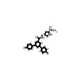 NN[C@@H]1C[C@@H](CNC(=O)c2cc(-c3ccc(F)cc3)cc(-c3ccc(F)cc3)c2)CN1